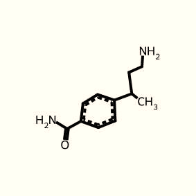 CC(CCN)c1ccc(C(N)=O)cc1